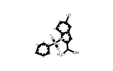 [CH2]C(O)c1cc2cc(Cl)ccc2n1S(=O)(=O)c1ccccc1